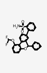 NS(=O)(=O)c1ccccc1-c1ccc2c(c1)C(c1ccccc1)Oc1cccc(OC(F)F)c1-2